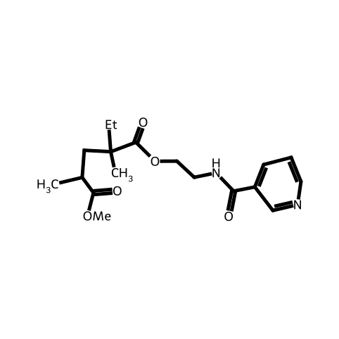 CCC(C)(CC(C)C(=O)OC)C(=O)OCCNC(=O)c1cccnc1